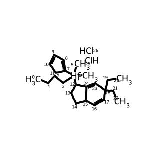 CCC[CH2][Hf]([CH3])([CH3])([C]1=CC=CC1)[CH]1CCC2C=CC(CC)(CC)C=C21.Cl.Cl